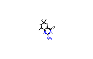 CCc1nc(N)nc2c1CC(C)(C)CC2C